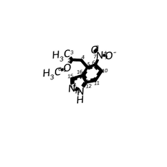 COC(C)Cc1c([N+](=O)[O-])ccc2[nH]ncc12